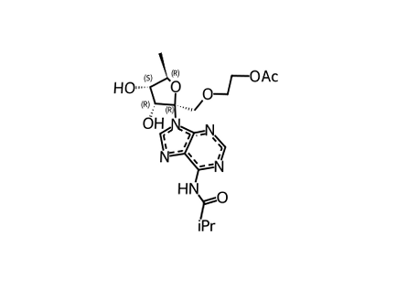 CC(=O)OCCOC[C@@]1(n2cnc3c(NC(=O)C(C)C)ncnc32)O[C@H](C)[C@@H](O)[C@H]1O